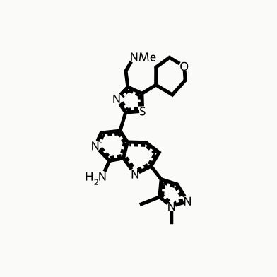 CNCc1nc(-c2cnc(N)c3nc(-c4cnn(C)c4C)ccc23)sc1C1CCOCC1